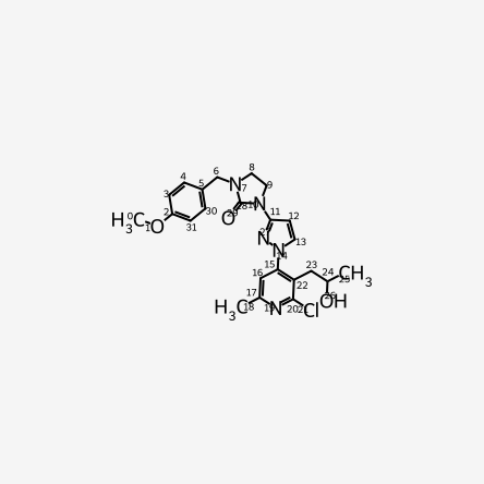 COc1ccc(CN2CCN(c3ccn(-c4cc(C)nc(Cl)c4CC(C)O)n3)C2=O)cc1